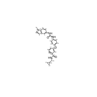 Cn1ncc2cc(NC(=O)Nc3ccc(Oc4ccnc(C(=O)NCC5CC5)c4)cc3)ccc21